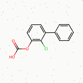 O=C(O)Oc1cccc(-c2ccccc2)c1Cl